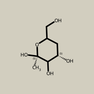 C[C@]1(O)OC(CO)C[C@H](O)C1O